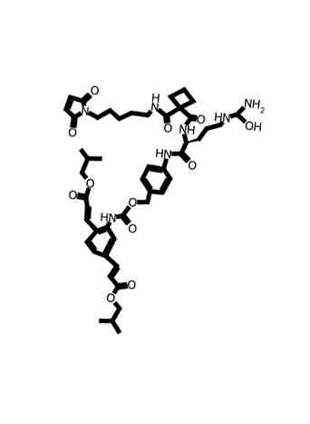 CC(C)COC(=O)/C=C/c1ccc(/C=C/C(=O)OCC(C)C)c(NC(=O)OCc2ccc(NC(=O)[C@H](CCCNC(N)O)NC(=O)C3(C(=O)NCCCCCN4C(=O)C=CC4=O)CCC3)cc2)c1